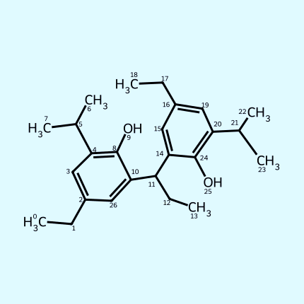 CCc1cc(C(C)C)c(O)c(C(CC)c2cc(CC)cc(C(C)C)c2O)c1